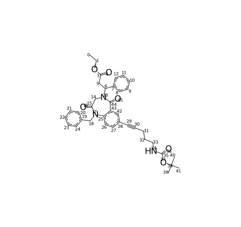 CCOC(=O)CC(c1ccccc1)N1CC(=O)N(Cc2ccccc2)c2ccc(C#CCCCNC(=O)OC(C)(C)C)cc2C1=O